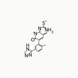 C=C(/N=C1\C(=C/N)C=C(c2cc(-c3nnc[nH]3)ccc2C)C(=O)N1C)SC